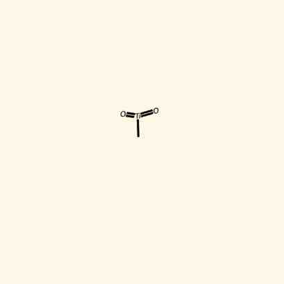 [CH3][Ti](=[O])=[O]